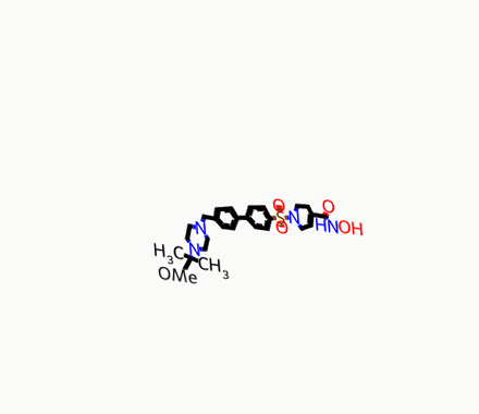 COCC(C)(C)N1CCN(Cc2ccc(-c3ccc(S(=O)(=O)N4CC=C(C(=O)NO)CC4)cc3)cc2)CC1